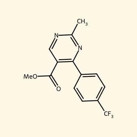 COC(=O)c1cnc(C)nc1-c1ccc(C(F)(F)F)cc1